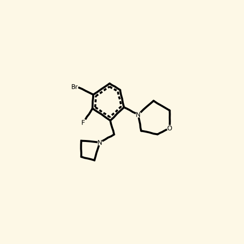 Fc1c(Br)ccc(N2CCOCC2)c1CN1CCC1